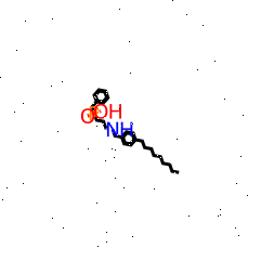 CCCCCCCCCc1ccc(CNCCCP(=O)(O)Cc2ccccc2)cc1